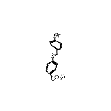 O=C(O)c1ccc(SCc2ccc(Br)cc2)cc1